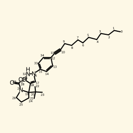 CCCCCCCCCCC#Cc1ccc(N2C=C(C3(C(C)(C)C)CCCN3C(=O)O)ON2)cc1